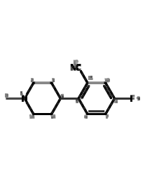 CN1CCC(c2ccc(F)cc2C#N)CC1